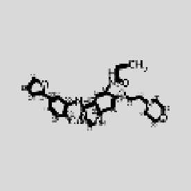 C=CC(=O)Nc1cc2c(Nc3cc(-c4ccco4)ccc3OC)ncnc2cc1OCCN1CCOCC1